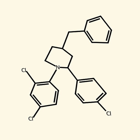 Clc1ccc(C2CC(Cc3ccccc3)CCN2c2ccc(Cl)cc2Cl)cc1